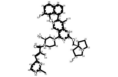 [2H][C@H]1CN(c2nc(OC[C@@]34CCCN3C[C@H](F)C4)nc3c(F)c(-c4cccc5ccc(F)c(Cl)c45)ncc23)CCN1C(=O)/C(F)=C/c1ccnc(C)n1